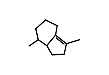 CC1=C2[C]CCC(C)C2CC1